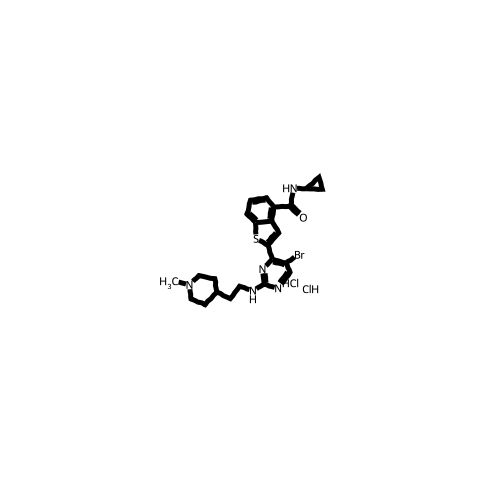 CN1CCC(CCNc2ncc(Br)c(-c3cc4c(C(=O)NC5CC5)cccc4s3)n2)CC1.Cl.Cl